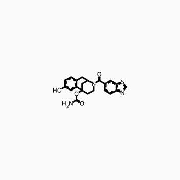 NC(=O)OC12CCN(C(=O)c3ccc4ncsc4c3)C(Cc3ccc(O)cc31)C2